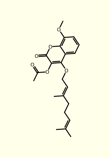 COc1cccc2c(OC/C=C(\C)CCC=C(C)C)c(OC(C)=O)c(=O)oc12